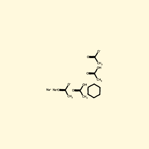 C1CCCCC1.CC(=O)O.CC(=O)O.CC(=O)[O-].CC(=O)[O-].[Na+].[Na+]